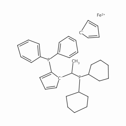 CC([c-]1cccc1P(c1ccccc1)c1ccccc1)P(C1CCCCC1)C1CCCCC1.[Fe+2].c1cc[cH-]c1